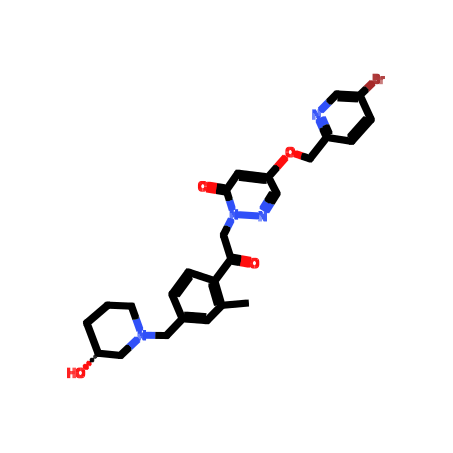 Cc1cc(CN2CCC[C@@H](O)C2)ccc1C(=O)Cn1ncc(OCc2ccc(Br)cn2)cc1=O